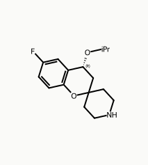 CC(C)O[C@@H]1CC2(CCNCC2)Oc2ccc(F)cc21